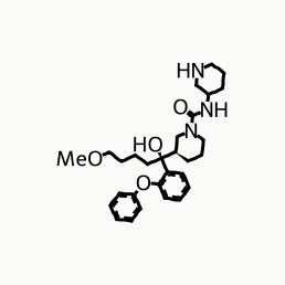 COCCCC[C@@](O)(c1ccccc1Oc1ccccc1)[C@@H]1CCCN(C(=O)NC2CCCNC2)C1